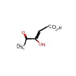 O=CC(=O)C(O)=CC(=O)O